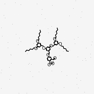 CCCCCCOc1cc(COc2cc(COc3ccc([N+](=O)[O-])c(C=O)c3)cc(OCc3cc(OCCCCCC)cc(OCCCCCC)c3)c2)cc(OCCCCCC)c1